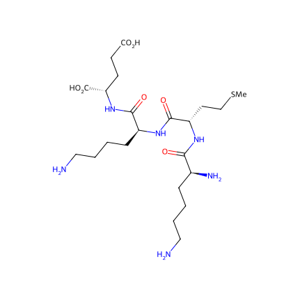 CSCC[C@H](NC(=O)[C@@H](N)CCCCN)C(=O)N[C@@H](CCCCN)C(=O)N[C@@H](CCC(=O)O)C(=O)O